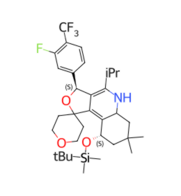 CC(C)C1=C2C(=C3C(CC(C)(C)C[C@@H]3O[Si](C)(C)C(C)(C)C)N1)C1(CCOCC1)O[C@H]2c1ccc(C(F)(F)F)c(F)c1